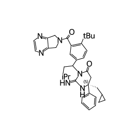 CC(C)CC(c1ccc(C(C)(C)C)c(C(=O)N2Cc3nccnc3C2)c1)N1C(=N)N[C@](CC2CC2)(c2ccccc2)CC1=O